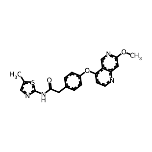 COc1cc2nccc(Oc3ccc(CC(=O)Nc4ncc(C)s4)cc3)c2cn1